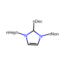 CCCCCCCCCCC1N(CCCCCCC)C=CN1CCCCCCCCC